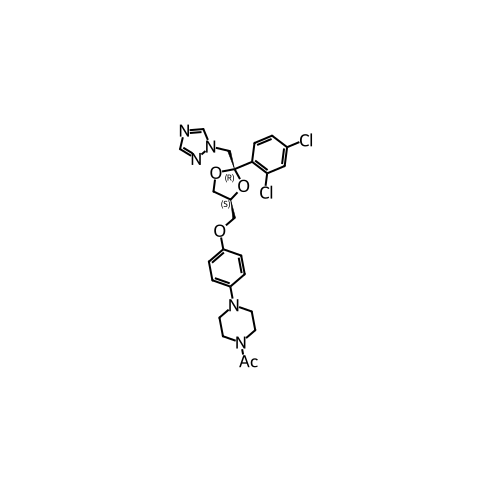 CC(=O)N1CCN(c2ccc(OC[C@H]3CO[C@](Cn4cncn4)(c4ccc(Cl)cc4Cl)O3)cc2)CC1